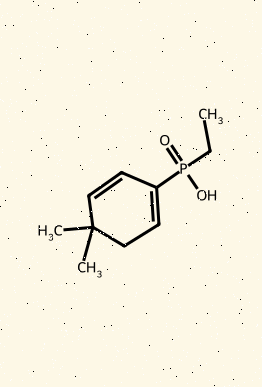 CCP(=O)(O)C1=CCC(C)(C)C=C1